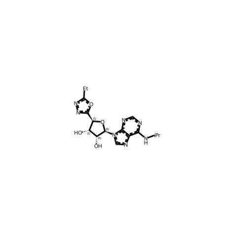 CCc1nnc([C@H]2O[C@@H](n3cnc4c(NC(C)C)ncnc43)[C@H](O)[C@@H]2O)o1